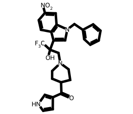 O=C(c1cc[nH]c1)C1CCN(CC(O)(c2cn(Cc3ccccc3)c3cc([N+](=O)[O-])ccc23)C(F)(F)F)CC1